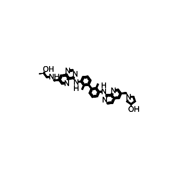 Cc1c(Nc2nccc3cc(CN4CC[C@@H](O)C4)cnc23)cccc1-c1cccc(Nc2ncnc3cc(CNC[C@@H](C)O)cnc23)c1C